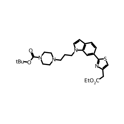 CCOC(=O)Cc1csc(-c2ccc3ccn(CCCN4CCN(C(=O)OC(C)(C)C)CC4)c3c2)n1